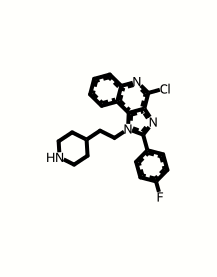 Fc1ccc(-c2nc3c(Cl)nc4ccccc4c3n2CCC2CCNCC2)cc1